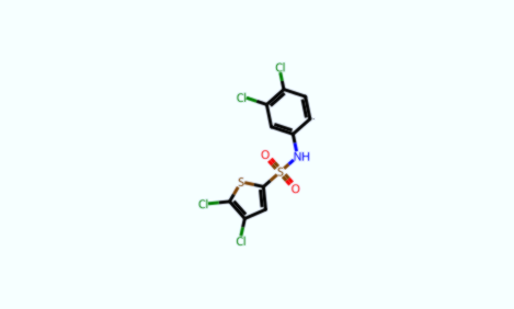 O=S(=O)(Nc1[c]cc(Cl)c(Cl)c1)c1cc(Cl)c(Cl)s1